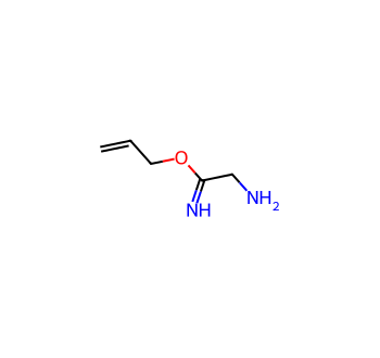 C=CCOC(=N)CN